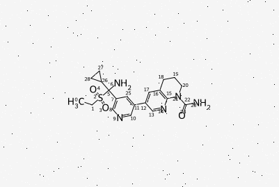 CCS(=O)(=O)C(N)(c1cncc(-c2cnc3c(c2)CCCN3C(N)=O)c1)C1CC1